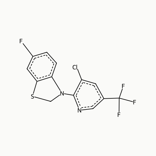 Fc1ccc2c(c1)SCN2c1ncc(C(F)(F)F)cc1Cl